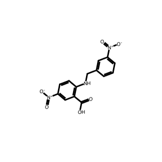 O=C(O)c1cc([N+](=O)[O-])ccc1NCc1cccc([N+](=O)[O-])c1